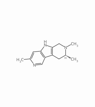 Cc1cc2[nH]c3c(c2cn1)C[C@H](C)N(C)C3